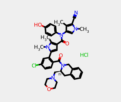 Cc1c(N(C(=O)c2cc(-c3cc(Cl)ccc3C(=O)N3Cc4ccccc4C[C@H]3CN3CCOCC3)n(C)c2C)c2ccc(O)cc2)cn(C)c1C#N.Cl